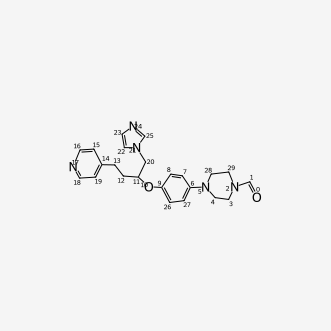 O=CN1CCN(c2ccc(OC(CCc3ccncc3)Cn3ccnc3)cc2)CC1